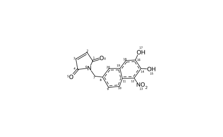 O=C1C=CC(=O)N1Cc1ccc2c([N+](=O)[O-])c(O)c(O)cc2c1